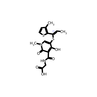 C/C=C(\Sc1cn(C)c(=O)c(C(=O)NCC(=O)O)c1O)c1sccc1C